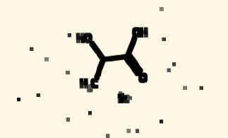 CC(O)C(=O)O.[Sc]